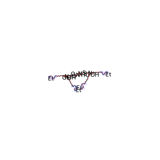 CC/C=C\C/C=C\C/C=C\CCCCCCC(O)CN(CCCCC(=O)OCCN1CCN(CCSSCCCN(CC(O)CCCCCC/C=C\C/C=C\C/C=C\CC)CC(O)CCCCCC/C=C\C/C=C\C/C=C\CC)CC1)CC(O)CCCCCC/C=C\C/C=C\C/C=C\CC